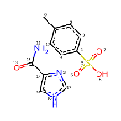 Cc1ccc(S(=O)(=O)O)cc1.NC(=O)c1c[nH]cn1